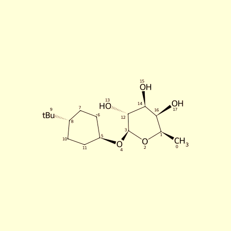 C[C@H]1O[C@@H](O[C@@H]2[CH]C[C@@H](C(C)(C)C)CC2)[C@H](O)[C@@H](O)[C@H]1O